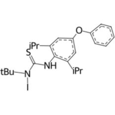 CC(C)c1cc(Oc2ccccc2)cc(C(C)C)c1NC(=S)N(I)C(C)(C)C